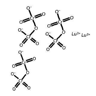 [Lu+3].[Lu+3].[O]=[Cr](=[O])([O-])[O][Cr](=[O])(=[O])[O-].[O]=[Cr](=[O])([O-])[O][Cr](=[O])(=[O])[O-].[O]=[Cr](=[O])([O-])[O][Cr](=[O])(=[O])[O-]